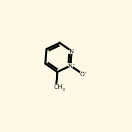 Cc1cc[c]n[n+]1[O-]